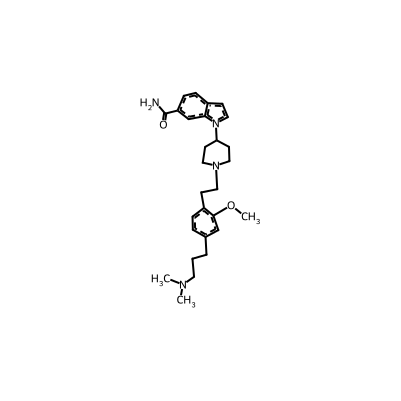 COc1cc(CCCN(C)C)ccc1CCN1CCC(n2ccc3ccc(C(N)=O)cc32)CC1